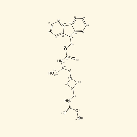 CC(C)(C)OC(=O)NCC1CN(CC(NC(=O)OCC2c3ccccc3-c3ccccc32)C(=O)O)C1